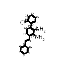 Nc1c(C=Cc2ccccc2)ccc(-c2ccccc2Cl)c1N